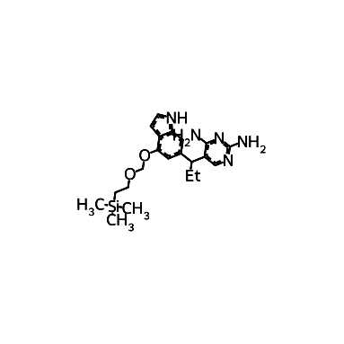 CCC(c1cc(OCOCC[Si](C)(C)C)c2cc[nH]c2c1)c1cnc(N)nc1N